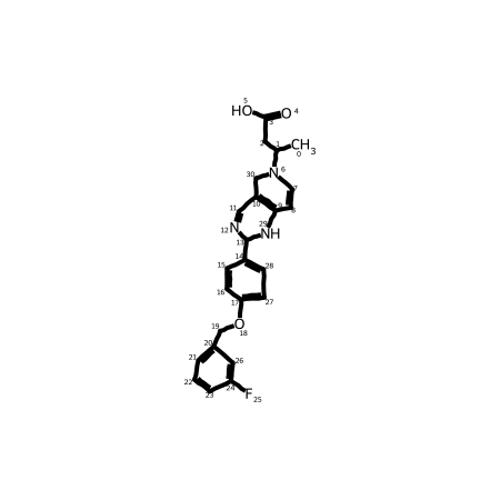 CC(CC(=O)O)N1C=CC2=C(C=NC(c3ccc(OCc4cccc(F)c4)cc3)N2)C1